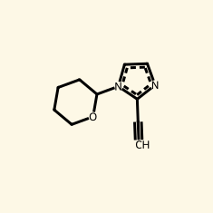 C#Cc1nccn1C1CCCCO1